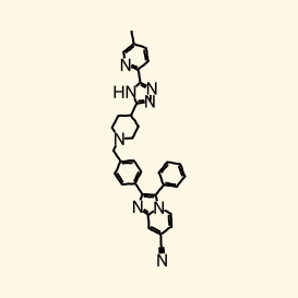 Cc1ccc(-c2nnc(C3CCN(Cc4ccc(-c5nc6cc(C#N)ccn6c5-c5ccccc5)cc4)CC3)[nH]2)nc1